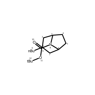 CCCCC1CC2CCC(C1)N2C(=O)OC(C)(C)C